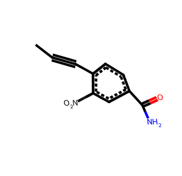 CC#Cc1ccc(C(N)=O)cc1[N+](=O)[O-]